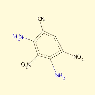 N#Cc1cc([N+](=O)[O-])c(N)c([N+](=O)[O-])c1N